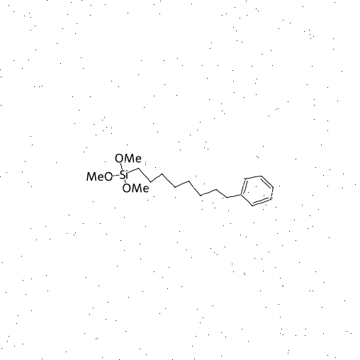 CO[Si](CCCCCCCCc1ccccc1)(OC)OC